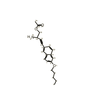 CCCCCOc1ccc2cc(C#CC(N)COC(C)=O)ccc2c1